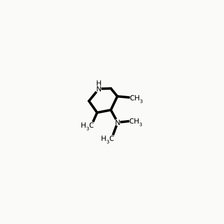 CC1CNCC(C)C1N(C)C